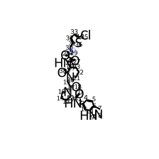 O=C(Nc1ccc2cn[nH]c2c1)[C@@H]1CCCN1C(=O)CN1CCC[C@H](NS(=O)(=O)/C=C/c2ccc(Cl)s2)C1=O